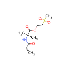 C=CC(=O)NC(C)(C)C(=O)OCCS(C)(=O)=O